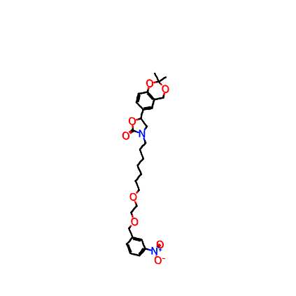 CC1(C)OCc2cc(C3CN(CCCCCCCOCCOCc4cccc([N+](=O)[O-])c4)C(=O)O3)ccc2O1